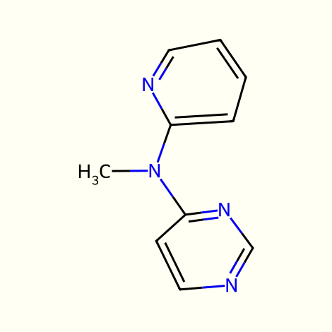 CN(c1ccccn1)c1ccncn1